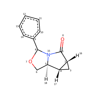 O=C1[C@@H]2C[C@@H]2[C@H]2COC(c3ccccc3)N12